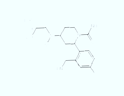 C[C@@H](O)C[S+]([O-])C1CCN(C(N)=O)C(c2ccc(F)cc2CN)C1